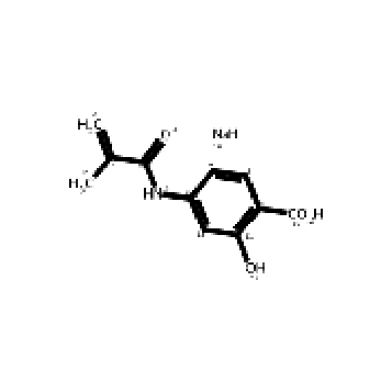 C=C(C)C(=O)Nc1ccc(C(=O)O)c(O)c1.[NaH]